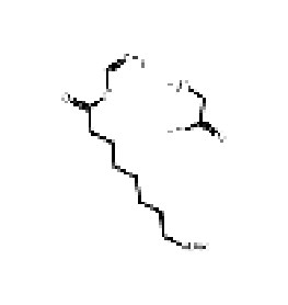 C=COC(=O)CCCCCCCCCCCCCCCCC.CCC(=O)O